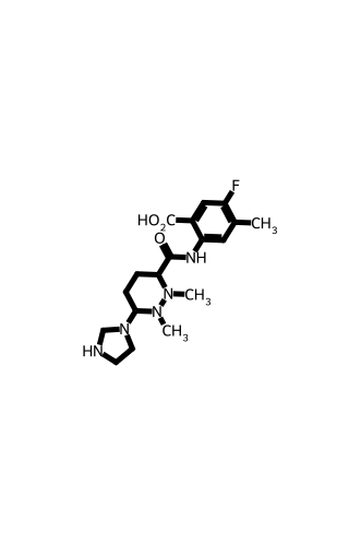 Cc1cc(NC(=O)C2CCC(N3CCNC3)N(C)N2C)c(C(=O)O)cc1F